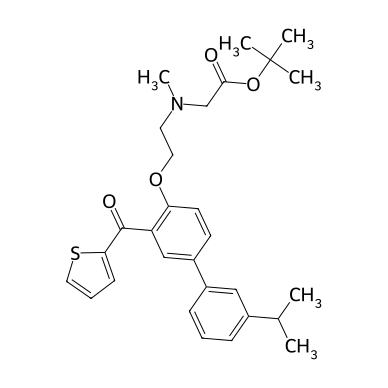 CC(C)c1cccc(-c2ccc(OCCN(C)CC(=O)OC(C)(C)C)c(C(=O)c3cccs3)c2)c1